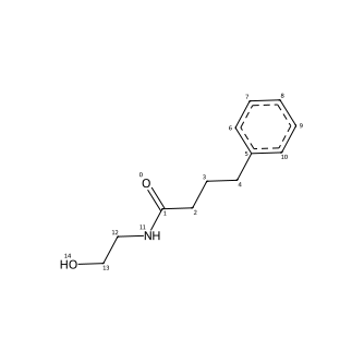 O=C(CCCc1ccccc1)NCCO